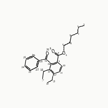 CCCCCCOC(=O)c1ccc(CC)c(CC)c1C(=O)c1ccccc1